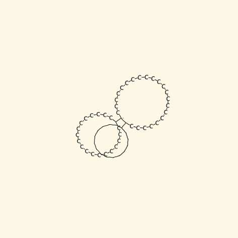 C1CCCCCCCCCCCC(C2CCCCCCCCCCCCCCC2)[C](C2CCCCCCCCCCCCCCCCCCC2)CCCCCCCCCC1